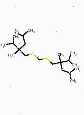 CC(C)CC(C)(CSCSCC(C)(CC(C)C)C(C)C)C(C)C